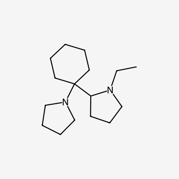 CCN1CCCC1C1(N2CCCC2)CCCCC1